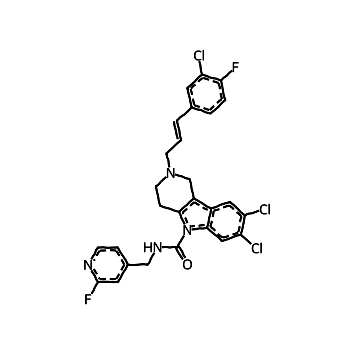 O=C(NCc1ccnc(F)c1)n1c2c(c3cc(Cl)c(Cl)cc31)CN(C/C=C/c1ccc(F)c(Cl)c1)CC2